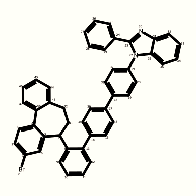 Brc1ccc2c(c1)C(c1ccccc1-c1ccc(-c3ccc(-n4c(-c5ccccc5)nc5ccccc54)cc3)cc1)CCc1ccccc1-2